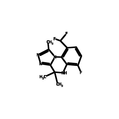 Cc1nnc2n1-c1c(C(F)F)ccc(F)c1NC2(C)C